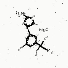 Br.Nc1nc(-c2cc(F)cc(C(F)(F)F)c2)cs1